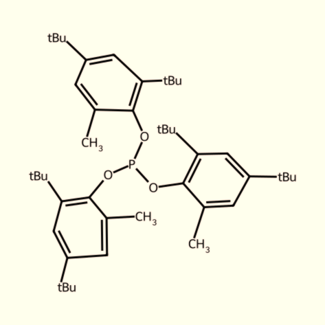 Cc1cc(C(C)(C)C)cc(C(C)(C)C)c1OP(Oc1c(C)cc(C(C)(C)C)cc1C(C)(C)C)Oc1c(C)cc(C(C)(C)C)cc1C(C)(C)C